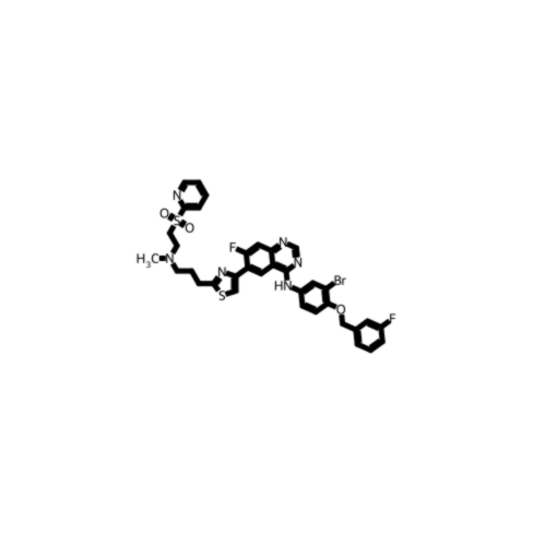 CN(CCCc1nc(-c2cc3c(Nc4ccc(OCc5cccc(F)c5)c(Br)c4)ncnc3cc2F)cs1)CCS(=O)(=O)c1ccccn1